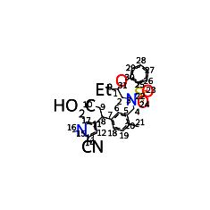 CC[C@@H]1CN(Cc2cc(C(CC(=O)O)c3cc(C#N)n(C)c3)ccc2C)S(=O)(=O)c2ccccc2O1